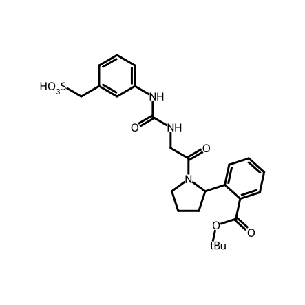 CC(C)(C)OC(=O)c1ccccc1C1CCCN1C(=O)CNC(=O)Nc1cccc(CS(=O)(=O)O)c1